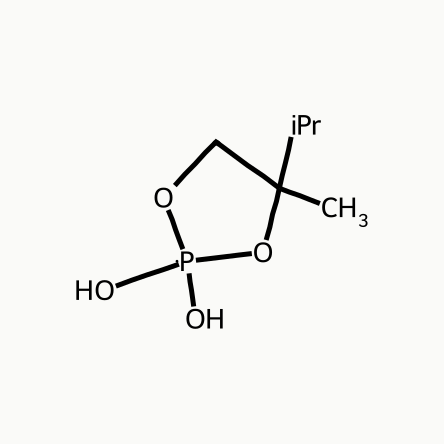 CC(C)C1(C)CO[P](O)(O)O1